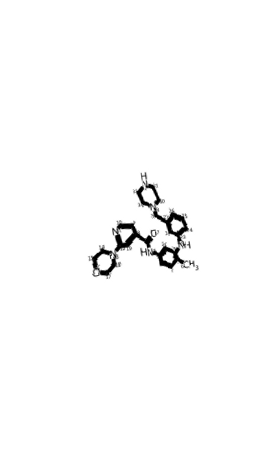 Cc1ccc(NC(=O)c2ccnc(N3CCOCC3)c2)cc1Nc1cccc(CN2CCNCC2)c1